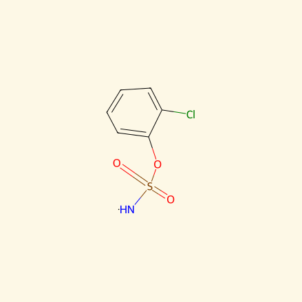 [NH]S(=O)(=O)Oc1ccccc1Cl